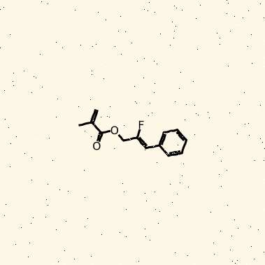 C=C(C)C(=O)OCC(F)=Cc1ccccc1